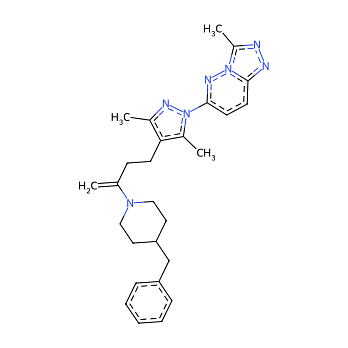 C=C(CCc1c(C)nn(-c2ccc3nnc(C)n3n2)c1C)N1CCC(Cc2ccccc2)CC1